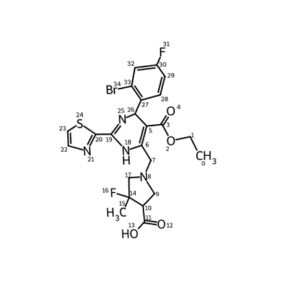 CCOC(=O)C1=C(CN2CC(C(=O)O)C(C)(F)C2)NC(c2nccs2)=NC1c1ccc(F)cc1Br